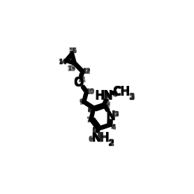 CNc1ncc(N)cc1CCOCC1CC1